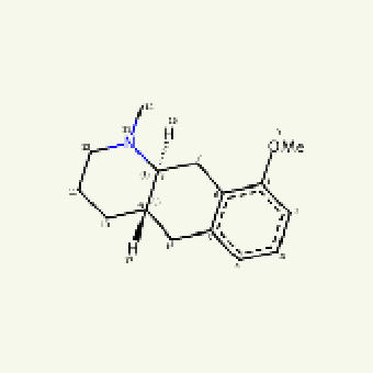 COc1cccc2c1C[C@H]1[C@@H](CCCN1C)C2